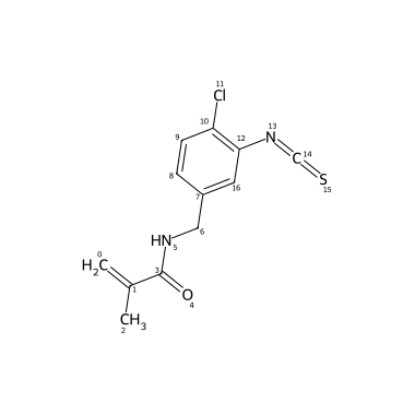 C=C(C)C(=O)NCc1ccc(Cl)c(N=C=S)c1